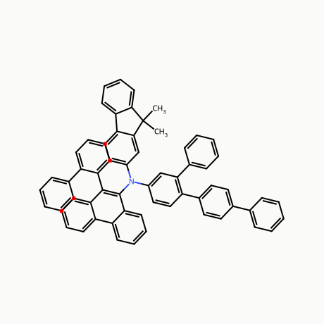 CC1(C)c2ccccc2-c2ccc(N(c3ccc(-c4ccc(-c5ccccc5)cc4)c(-c4ccccc4)c3)c3c(-c4ccccc4-c4ccccc4)c4ccccc4c4ccccc34)cc21